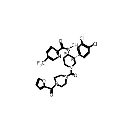 CN(C(=O)c1ccc(C(F)(F)F)cn1)[C@@H]1CCN(C(=O)N2CCN(C(=O)c3ccco3)CC2)C[C@H]1c1ccc(Cl)c(Cl)c1